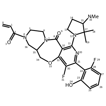 C=CC(=O)N1CCN2C(=O)c3c(N4CCC(NC)C4(C)C)nc(-c4c(O)cccc4F)c(F)c3OCC2C1